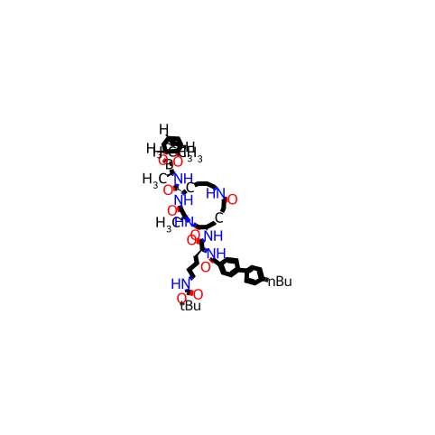 CCCCc1ccc(-c2ccc(C(=O)N[C@@H](CCCCNC(=O)OC(C)(C)C)C(=O)N[C@H]3CCCC(=O)NCCCC[C@@H](C(=O)N[C@@H](C)B4O[C@@H]5C[C@@H]6C[C@@H](C6(C)C)[C@]5(C)O4)NC(=O)[C@H](C)NC3=O)cc2)cc1